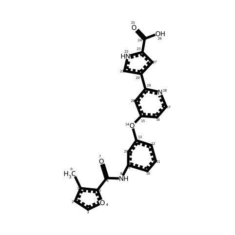 Cc1ccoc1C(=O)Nc1cccc(Oc2ccnc(-c3c[nH]c(C(=O)O)c3)c2)c1